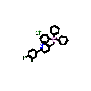 Fc1ccc(-c2ccc(C[P+](c3ccccc3)(c3ccccc3)c3ccccc3)cn2)cc1F.[Cl-]